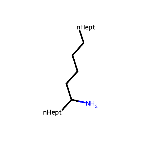 CCCCCCCCCCCC(N)CCCCCCC